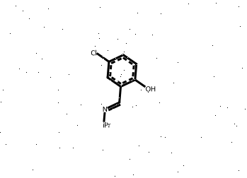 CC(C)/N=C/c1cc(Cl)ccc1O